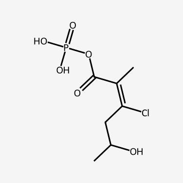 CC(C(=O)OP(=O)(O)O)=C(Cl)CC(C)O